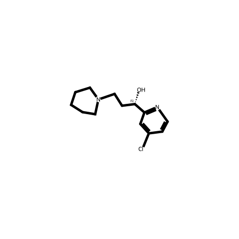 O[C@@H](CCN1CCCCC1)c1cc(Cl)ccn1